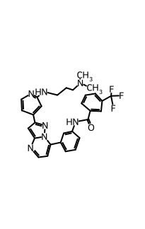 CN(C)CCCNc1cc(-c2cc3nccc(-c4cccc(NC(=O)c5cccc(C(F)(F)F)c5)c4)n3n2)ccn1